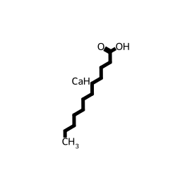 CCCCCCCCCCCC(=O)O.[CaH2]